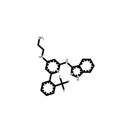 NCCNc1cc(Nc2n[nH]c3ccccc23)nc(-c2ccccc2C(F)(F)F)c1